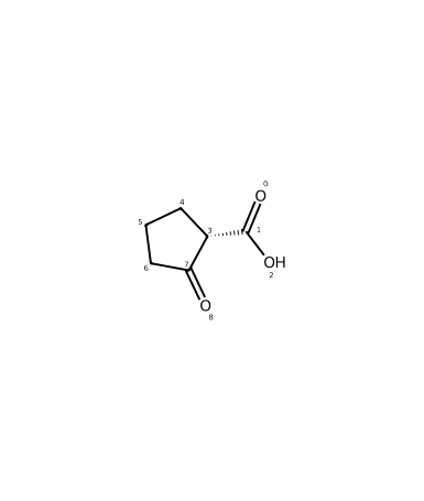 O=C(O)[C@H]1CCCC1=O